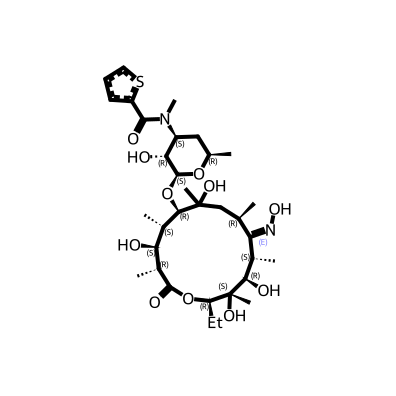 CC[C@H]1OC(=O)[C@H](C)[C@@H](O)[C@H](C)[C@@H](O[C@@H]2O[C@H](C)C[C@H](N(C)C(=O)c3cccs3)[C@H]2O)C(C)(O)C[C@@H](C)/C(=N\O)[C@H](C)[C@@H](O)[C@]1(C)O